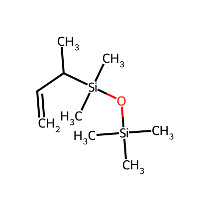 C=CC(C)[Si](C)(C)O[Si](C)(C)C